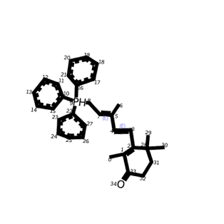 CC1=C(/C=C/C(C)=C/C[PH](c2ccccc2)(c2ccccc2)c2ccccc2)C(C)(C)CCC1=O